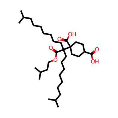 CC(C)CCCCCCCC(CCCCCCCC(C)C)(C(=O)OCCC(C)C)C1(C(=O)O)CCC(C(=O)O)CC1